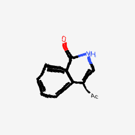 CC(=O)c1c[nH]c(=O)c2ccccc12